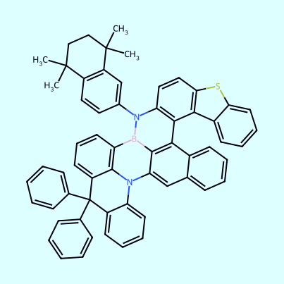 CC1(C)CCC(C)(C)c2cc(N3B4c5cccc6c5N(c5ccccc5C6(c5ccccc5)c5ccccc5)c5cc6ccccc6c(c54)-c4c3ccc3sc5ccccc5c43)ccc21